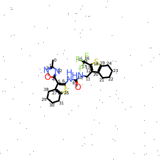 Cc1noc(-c2c(NC(=O)NCc3c(C(F)(F)F)sc4c3CCCC4)sc3c2CCCC3)n1